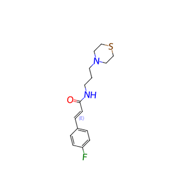 O=C(/C=C/c1ccc(F)cc1)NCCCN1CCSCC1